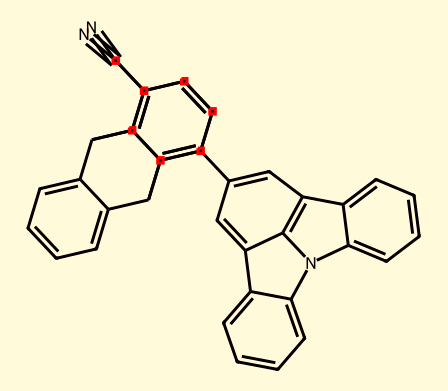 N#Cc1cccc2c1C1c3ccccc3C2c2c(-c3cc4c5ccccc5n5c6ccccc6c(c3)c45)ccc(C#N)c21